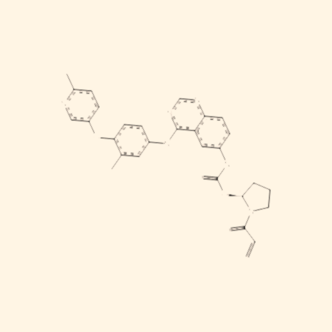 C=CC(=O)N1CCC[C@@H]1OC(=O)Nc1ccc2ncnc(Nc3ccc(Oc4ccc(C)nc4)c(C)c3)c2c1